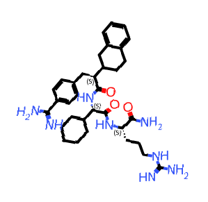 N=C(N)NCCC[C@H](NC(=O)[C@@H](NC(=O)[C@@H](Cc1ccc(C(=N)N)cc1)C1CCc2ccccc2C1)C1CCCCC1)C(N)=O